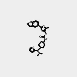 Cc1nc(-c2ccc3c(c2)CCO3)sc1OC(=O)NC1CCC(C(c2cccs2)N(C)C)CC1